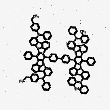 CCc1ccc(N(c2ccccc2)c2cccc3c2c2cccc4c5c(-c6ccc(-c7ccc(-c8c9c%10cccc%11c%12c(N(C%13=CC=CCC%13)c%13ccccc%13C)cccc%12n(c9c(-c9ccccc9)c9c%12cccc%13c%14c(N(C%15=CC=CCC%15)c%15ccccc%15C)cccc%14n(c89)c%13%12)c%11%10)cc7)cc6)c6c(c(-c7ccccc7)c5n3c24)c2cccc3c4c(N(c5ccccc5)c5ccc(CC)cc5)cccc4n6c32)cc1